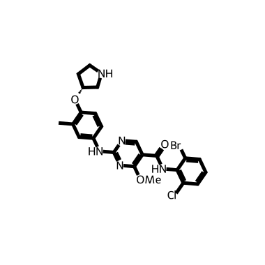 COc1nc(Nc2ccc(O[C@@H]3CCNC3)c(C)c2)ncc1C(=O)Nc1c(Cl)cccc1Br